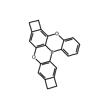 c1ccc2c(c1)Oc1c3c(cc4c1B2c1cc2c(cc1O4)CC2)CC3